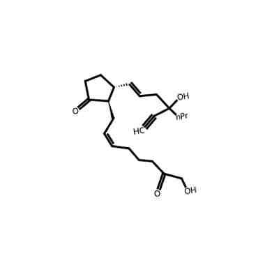 C#CC(O)(C/C=C/[C@H]1CCC(=O)[C@@H]1C/C=C\CCCC(=O)CO)CCC